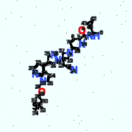 CC(NC(=O)c1ccc(N2CC(CC#N)(n3cc(-c4ccnc5c4ccn5COCC[Si](C)(C)C)cn3)C2)cn1)C1CC1